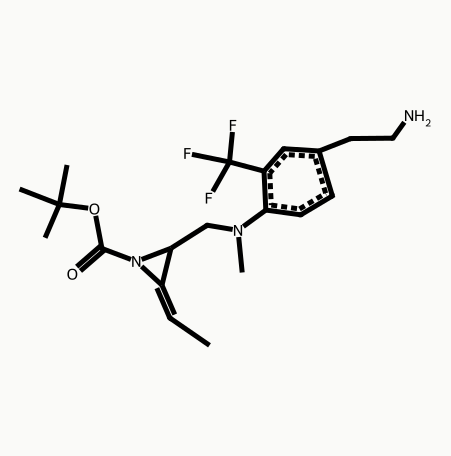 C/C=C1\C(CN(C)c2ccc(CCN)cc2C(F)(F)F)N1C(=O)OC(C)(C)C